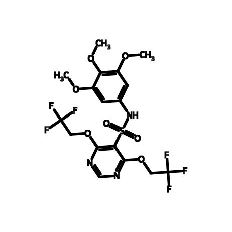 COc1cc(NS(=O)(=O)c2c(OCC(F)(F)F)ncnc2OCC(F)(F)F)cc(OC)c1OC